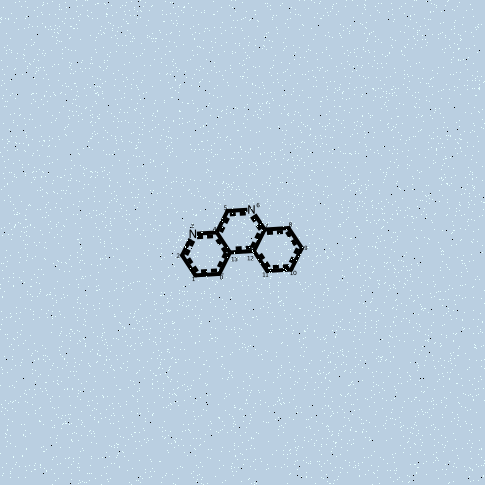 [c]1ccnc2cnc3ccccc3c12